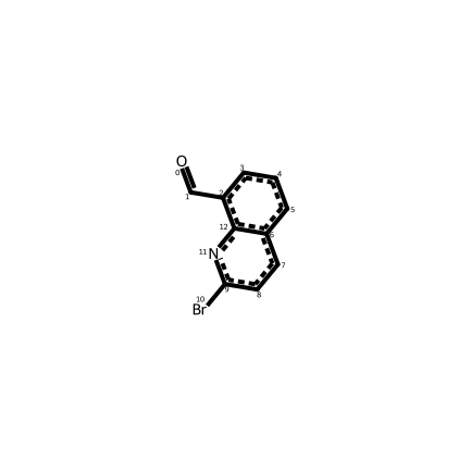 O=Cc1cccc2ccc(Br)nc12